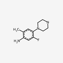 Cc1cc(N2CC[N]CC2)c(F)cc1N